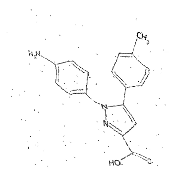 Cc1ccc(-c2cc(C(=O)O)nn2-c2ccc(N)cc2)cc1